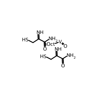 CCCCCCC[CH2][V]=[O].N=C(CS)C(N)=O.N=C(CS)C(N)=O